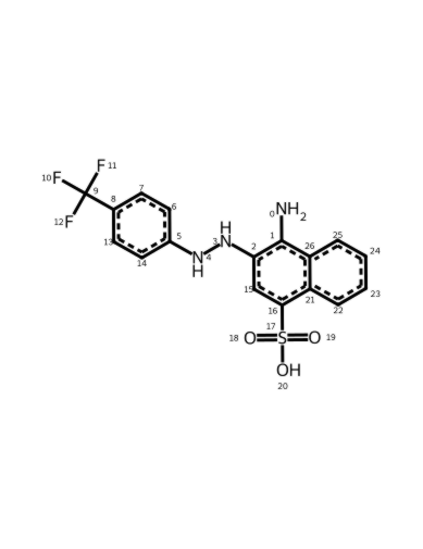 Nc1c(NNc2ccc(C(F)(F)F)cc2)cc(S(=O)(=O)O)c2ccccc12